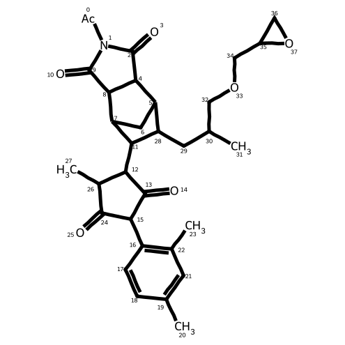 CC(=O)N1C(=O)C2C3CC(C2C1=O)C(C1C(=O)C(c2ccc(C)cc2C)C(=O)C1C)C3CC(C)COCC1CO1